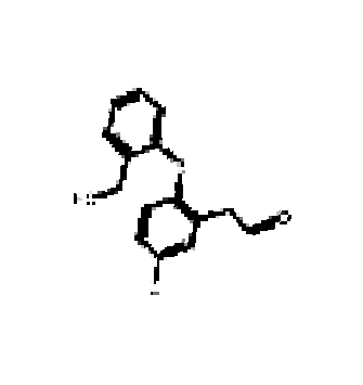 O=CCc1cc(Cl)ccc1Sc1ccccc1CO